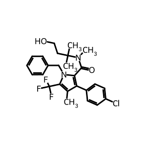 Cc1c(-c2ccc(Cl)cc2)c(C(=O)N(C)C(C)(C)CCO)n(Cc2ccccc2)c1C(F)(F)F